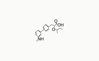 CCC(C)OC(Cc1ccc(-c2cccc(NC)c2)cc1)C(=O)O